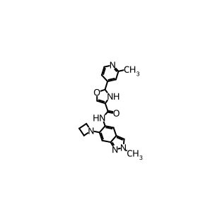 Cc1cc(C2NC(C(=O)Nc3cc4cn(C)nc4cc3N3CCC3)=CO2)ccn1